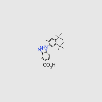 Cc1cc2c(cc1-n1nnc3cc(C(=O)O)ccc31)C(C)(C)CCC2(C)C